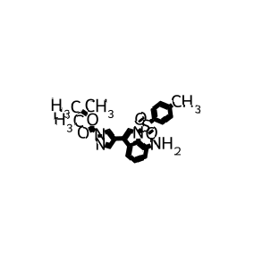 Cc1ccc(S(=O)(=O)n2cc(-c3cnn(C(=O)OC(C)(C)C)c3)c3cccc(N)c32)cc1